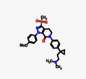 COc1ccc(-n2nc(S(C)(=O)=O)c3c2C(=O)N(c2ccc(C4(CCN(C)C)CC4)cc2)CC3)cc1